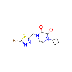 O=c1c(=O)n(C2CCC2)ccn1Cc1nnc(Br)s1